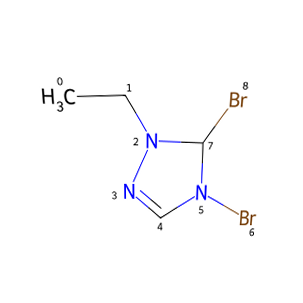 CCN1N=CN(Br)C1Br